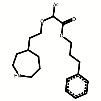 CC(=O)C(OCCC1CCCNCC1)C(=O)OCCCc1ccccc1